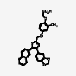 Cc1cc(OCc2nc(-c3ccc4c(c3)OCO4)c(-c3ccc4ccccc4c3)s2)ccc1OCC(=O)O